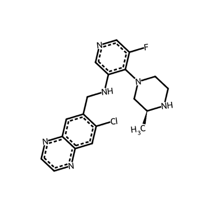 C[C@H]1CN(c2c(F)cncc2NCc2cc3nccnc3cc2Cl)CCN1